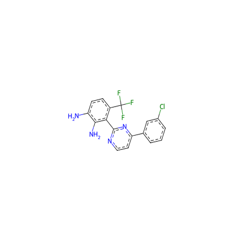 Nc1ccc(C(F)(F)F)c(-c2nccc(-c3cccc(Cl)c3)n2)c1N